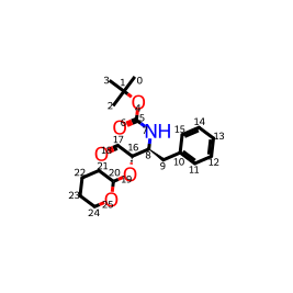 CC(C)(C)OC(=O)N[C@@H](Cc1ccccc1)[C@@H](C=O)OC1CCCCO1